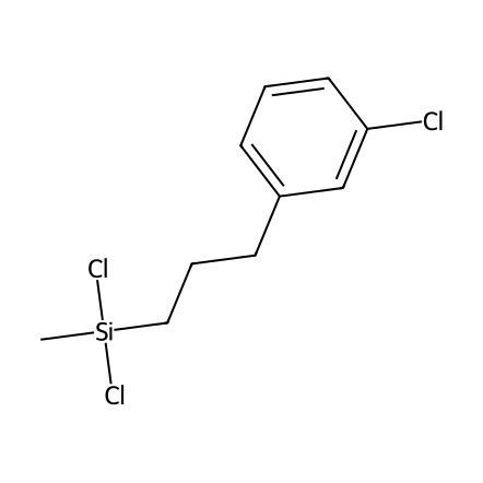 C[Si](Cl)(Cl)CCCc1cccc(Cl)c1